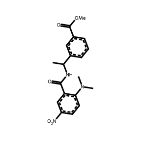 COC(=O)c1cccc(C(C)NC(=O)c2cc([N+](=O)[O-])ccc2N(C)C)c1